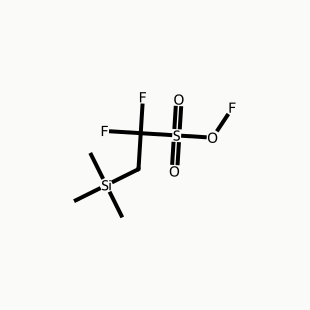 C[Si](C)(C)CC(F)(F)S(=O)(=O)OF